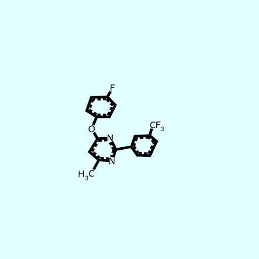 Cc1cc(Oc2ccc(F)cc2)nc(-c2cccc(C(F)(F)F)c2)n1